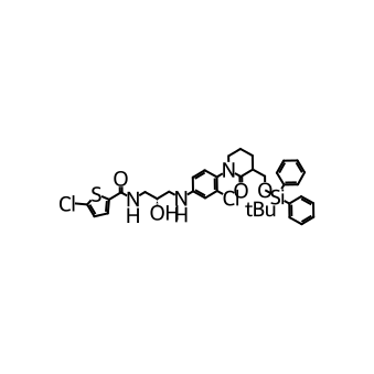 CC(C)(C)[Si](OCC1CCCN(c2ccc(NC[C@H](O)CNC(=O)c3ccc(Cl)s3)cc2Cl)C1=O)(c1ccccc1)c1ccccc1